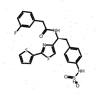 O=C(Cc1cccc(F)c1)N[C@@H](Cc1ccc(N[SH](=O)=O)cc1)c1csc(-c2cccs2)n1